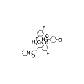 C[C@H](c1ccc(F)cc1CCCC(=O)N1CCCCC1)N(c1cc(F)ccc1F)S(=O)(=O)c1ccc(Cl)cc1